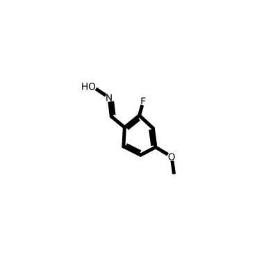 COc1ccc(/C=N/O)c(F)c1